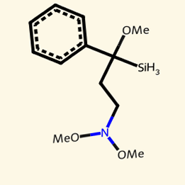 CON(CCC([SiH3])(OC)c1ccccc1)OC